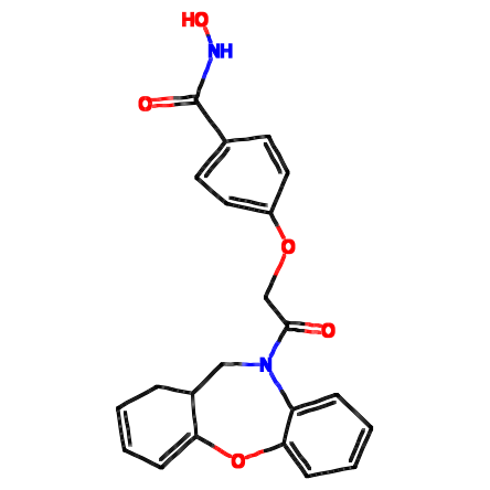 O=C(NO)c1ccc(OCC(=O)N2CC3CC=CC=C3Oc3ccccc32)cc1